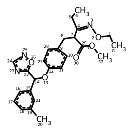 CCO/N=C(/CC)C(Cc1ccc(OC(c2cccc(C)c2)c2ncno2)cc1)C(=O)OC